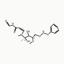 CO[C@H](COPOc1ccccc1)C(O)[C@@](C)(O)N(C)/C=C\C(=O)NC=O